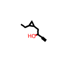 C#CC(O)CC1CC1CC